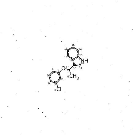 CC(Oc1cccc(Cl)c1)c1c[nH]c2ccccc12